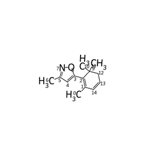 CC1=C(c2cc(C)no2)C(C)(C)CC=C1